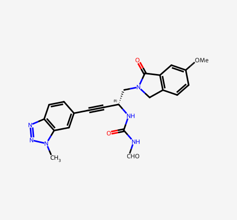 COc1ccc2c(c1)C(=O)N(C[C@@H](C#Cc1ccc3nnn(C)c3c1)NC(=O)NC=O)C2